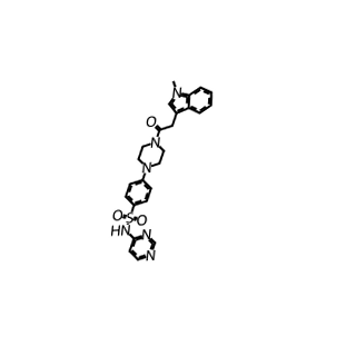 Cn1cc(CC(=O)N2CCN(c3ccc(S(=O)(=O)Nc4ccncn4)cc3)CC2)c2ccccc21